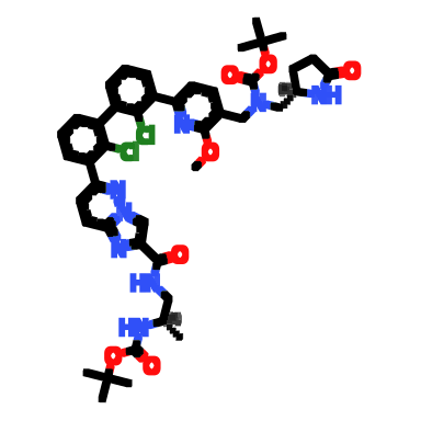 COc1nc(-c2cccc(-c3cccc(-c4ccc5nc(C(=O)NC[C@H](C)NC(=O)OC(C)(C)C)cn5n4)c3Cl)c2Cl)ccc1CN(C[C@@H]1CCC(=O)N1)C(=O)OC(C)(C)C